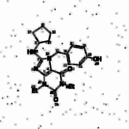 CCn1c(=O)c2c(nc(NC3CCCC3)n2Cc2ccc(O)cc2)n(CC)c1=O